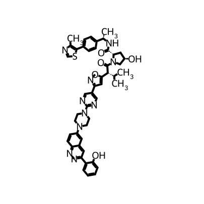 Cc1ncsc1-c1ccc([C@H](C)NC(=O)[C@@H]2C[C@@H](O)CN2C(=O)[C@@H](c2cc(-c3cnc(N4CCN(c5ccc6nnc(-c7ccccc7O)cc6c5)CC4)nc3)no2)C(C)C)cc1